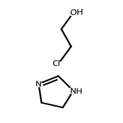 C1=NCCN1.OCCCl